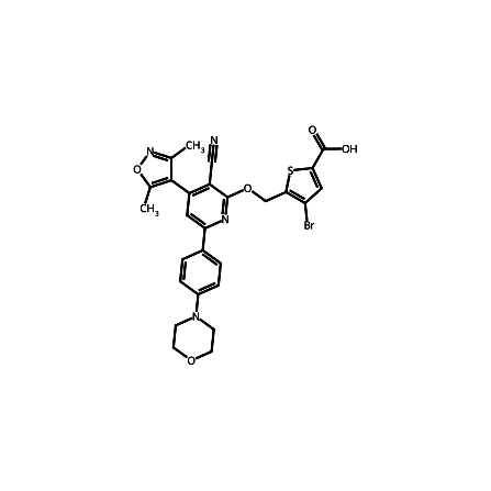 Cc1noc(C)c1-c1cc(-c2ccc(N3CCOCC3)cc2)nc(OCc2sc(C(=O)O)cc2Br)c1C#N